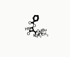 CC(O[Si](C)(C)C(C)(C)C)C1C(=O)NC1OC(=O)c1ccccc1